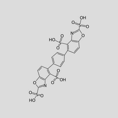 O=S(=O)(O)c1nc2c(S(=O)(=O)O)c(-c3ccc(-c4ccc5oc(S(=O)(=O)O)nc5c4S(=O)(=O)O)cc3)ccc2o1